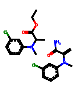 C=C(C(N)=O)N(C)c1cccc(Cl)c1.CCOC(=O)C(C)N(C)c1cccc(Cl)c1